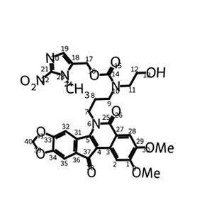 COc1cc2c3c(n(CCCN(CCO)C(=O)OCc4cnc([N+](=O)[O-])n4C)c(=O)c2cc1OC)-c1cc2c(cc1C3=O)OCO2